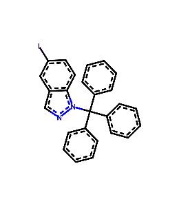 Ic1ccc2c(cnn2C(c2ccccc2)(c2ccccc2)c2ccccc2)c1